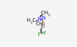 Cc1cn(C(C)C)c(SCCC=C(F)F)n1